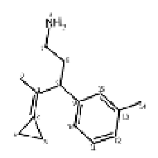 CC(=C1CC1)C(CCN)c1cccc(C)c1